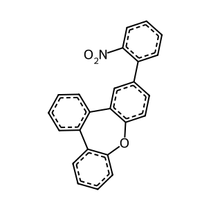 O=[N+]([O-])c1ccccc1-c1ccc2c(c1)-c1ccccc1-c1ccccc1O2